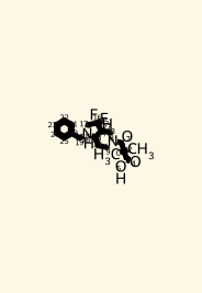 CC(C)(C(=O)O)C(=O)N1CC[C@@H]2[C@H](C1)C(F)(F)CN2Cc1ccccc1